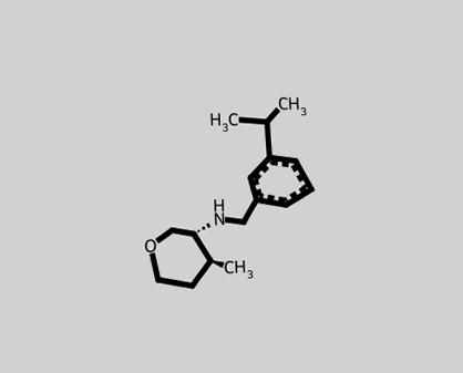 CC(C)c1cccc(CN[C@H]2COCC[C@@H]2C)c1